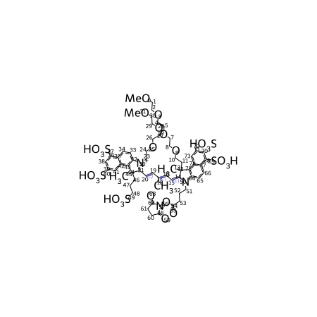 COCCOCCOCCOCCC1(C)\C(=C/C=C(C)/C=C/C2=[N+](CCOCCOCCOC)c3ccc4c(S(=O)(=O)O)cc(S(=O)(=O)O)cc4c3C2(C)CCCS(=O)(=O)O)N(CCCC(=O)ON2C(=O)CCC2=O)c2ccc3c(S(=O)(=O)O)cc(S(=O)(=O)O)cc3c21